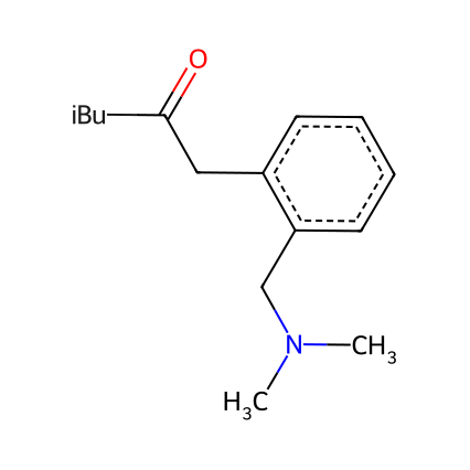 CCC(C)C(=O)Cc1ccccc1CN(C)C